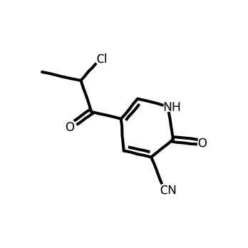 CC(Cl)C(=O)c1c[nH]c(=O)c(C#N)c1